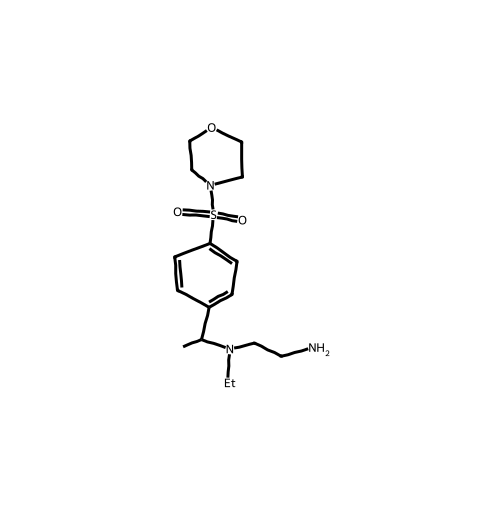 CCN(CCN)C(C)c1ccc(S(=O)(=O)N2CCOCC2)cc1